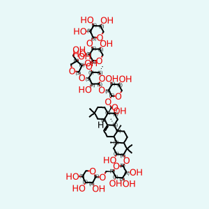 C[C@@H]1O[C@@H](O[C@H]2[C@H](OC(=O)[C@]34CCC(C)(C)C[C@H]3C3=CCC5[C@@]6(C)C[C@H](O)[C@H](O[C@@H]7O[C@H](CO[C@@H]8OC[C@H](O)[C@H](O)[C@H]8O)[C@@H](O)[C@H](O)[C@H]7O)C(C)(C)C6CC[C@@]5(C)[C@]3(C)C[C@H]4O)OC[C@@H](O)[C@@H]2O)[C@H](O)[C@H](O[C@@H]2OC[C@](O)(CO)[C@H]2O)[C@H]1O[C@@H]1OC[C@H](O)[C@H](O[C@@H]2OC[C@@H](O)[C@H](O)[C@H]2O)[C@H]1O